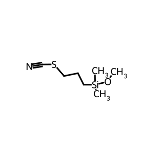 CO[Si](C)(C)CCCSC#N